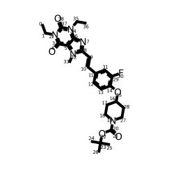 CCn1c(=O)c2c(nc(/C=C/c3ccc(OC4CCN(C(=O)OC(C)(C)C)CC4)c(F)c3)n2C)n(CC)c1=O